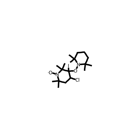 CC1(C)CCCC(C)(C)N1OC1(I)C(Cl)CC(C)(C)N([O])C1(C)C